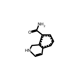 NC(=O)c1cccc2c1CNC=C2